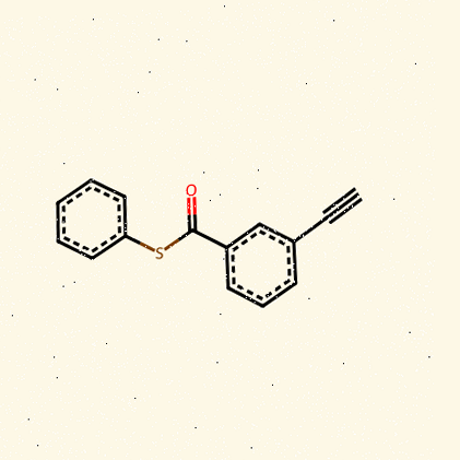 C#Cc1cccc(C(=O)Sc2ccccc2)c1